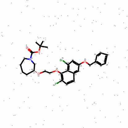 CC(C)(C)OC(=O)N1CCCC[C@@H](OCCOc2c(F)ccc3cc(OCc4ccccc4)cc(Br)c23)C1